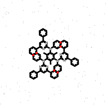 Cc1c(N(c2ccccc2)c2nc(-c3ccccc3)cc(-c3ccccc3)n2)c(C)c(N(c2ccccc2)c2nc(-c3ccccc3)cc(-c3ccccc3)n2)c(C)c1N(c1ccccc1)c1nc(-c2ccccc2)cc(-c2ccccc2)n1